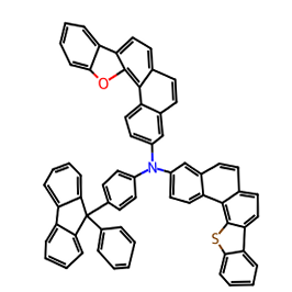 c1ccc(C2(c3ccc(N(c4ccc5c(ccc6ccc7c8ccccc8oc7c65)c4)c4ccc5c(ccc6ccc7c8ccccc8sc7c65)c4)cc3)c3ccccc3-c3ccccc32)cc1